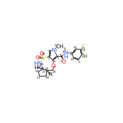 Cn1cc2c(c1C(=O)Nc1ccc(F)c(F)c1)OC[C@H]1CCC[C@@H]1NS2(=O)=O